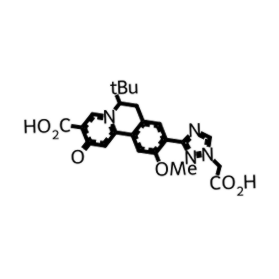 COc1cc2c(cc1-c1ncn(CC(=O)O)n1)CC(C(C)(C)C)n1cc(C(=O)O)c(=O)cc1-2